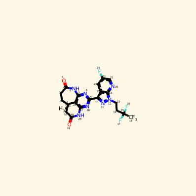 C[C@]12CCC(=O)Nc3nc(-c4nn(CCC(F)(F)C(F)(F)F)c5ncc(F)cc45)nc(c31)NC(=O)C2